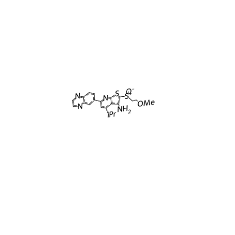 COCC[S+]([O-])c1sc2nc(-c3ccc4nccnc4c3)cc(C(C)C)c2c1N